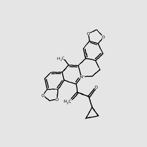 C=C(C(=O)C1CC1)c1c2c3c(ccc2c(C)c2[n+]1CCc1cc4c(cc1-2)OCO4)OCO3